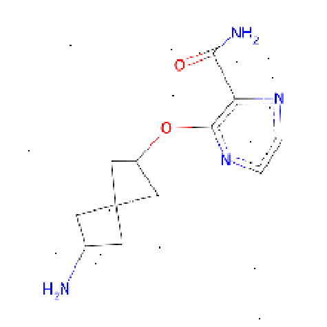 NC(=O)c1nccnc1OC1CC2(CC(N)C2)C1